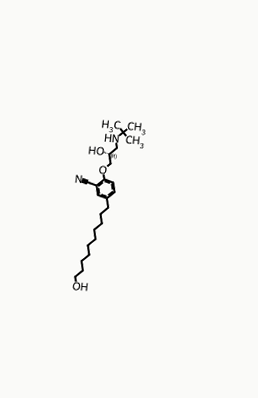 CC(C)(C)NC[C@@H](O)COc1ccc(CCCCCCCCCCO)cc1C#N